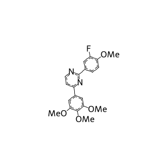 COc1ccc(-c2nccc(-c3cc(OC)c(OC)c(OC)c3)n2)cc1F